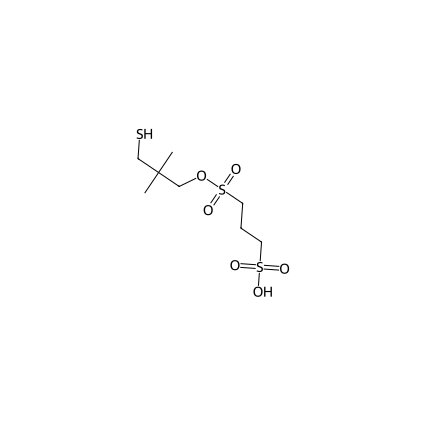 CC(C)(CS)COS(=O)(=O)CCCS(=O)(=O)O